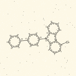 Clc1cccc2c1c1ccccc1n2-c1ccc(-c2ccccc2)cc1